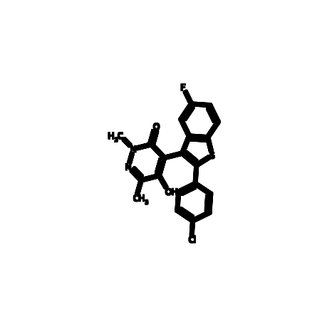 Cc1nn(C)c(=O)c(-c2c(-c3ccc(Cl)cc3)sc3ccc(F)cc23)c1O